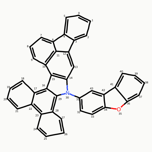 c1ccc2c(c1)-c1cccc3c1c-2cc1c3c2c3ccccc3c3ccccc3c2n1-c1ccc2oc3ccccc3c2c1